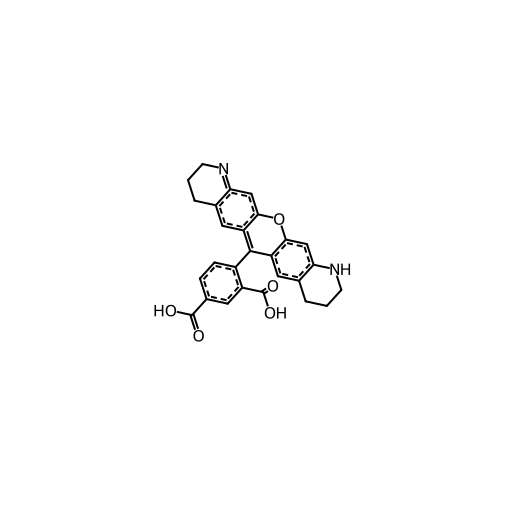 O=C(O)c1ccc(C2=c3cc4c(cc3Oc3cc5c(cc32)CCCN5)=NCCC4)c(C(=O)O)c1